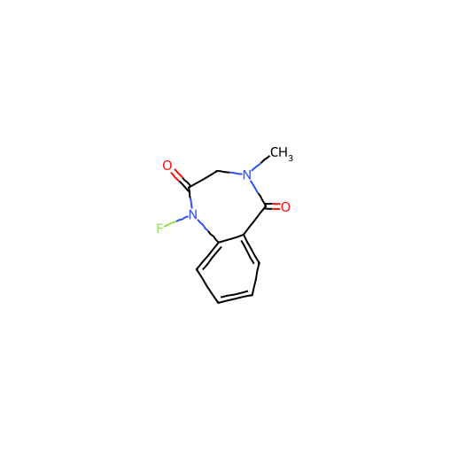 CN1CC(=O)N(F)c2ccccc2C1=O